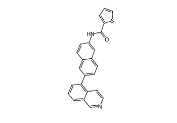 O=C(Nc1ccc2cc(-c3cccc4cnccc34)ccc2c1)c1cccs1